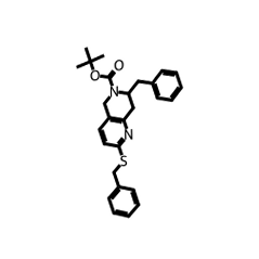 CC(C)(C)OC(=O)N1Cc2ccc(SCc3ccccc3)nc2CC1Cc1ccccc1